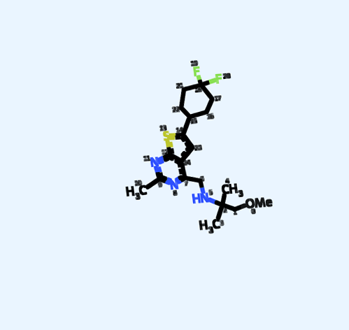 COCC(C)(C)NCc1nc(C)nc2sc(C3CCC(F)(F)CC3)cc12